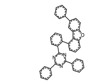 c1ccc(-c2ccc3oc4cccc(-c5ccccc5-c5nc(-c6ccccc6)nc(-c6ccccc6)n5)c4c3c2)cc1